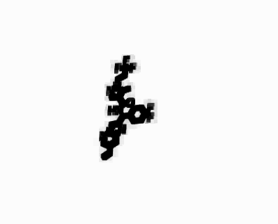 C=Cc1cnn2cc([C@@H](NC(=O)c3cnn(CCC(F)(F)F)c3C)C3CCC(F)(F)CC3)nc2c1